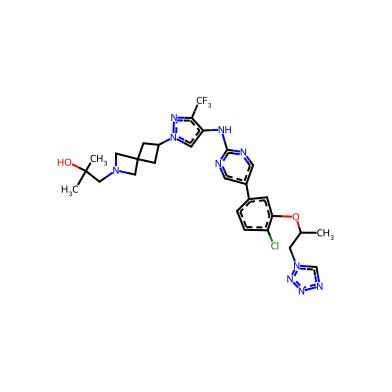 CC(Cn1cnnn1)Oc1cc(-c2cnc(Nc3cn(C4CC5(C4)CN(CC(C)(C)O)C5)nc3C(F)(F)F)nc2)ccc1Cl